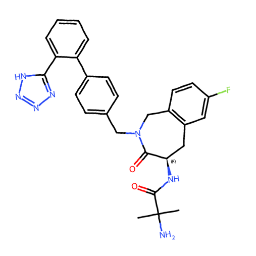 CC(C)(N)C(=O)N[C@@H]1Cc2cc(F)ccc2CN(Cc2ccc(-c3ccccc3-c3nnn[nH]3)cc2)C1=O